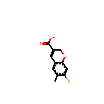 Cc1cc2c(cc1F)OCC(C(=O)O)=C2